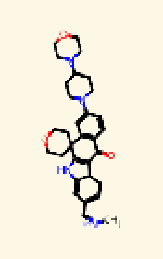 C/N=C\C1=CCC2C(=C1)NC1=C2C(=O)c2ccc(N3CCC(N4CCOCC4)CC3)cc2C12CCOCC2